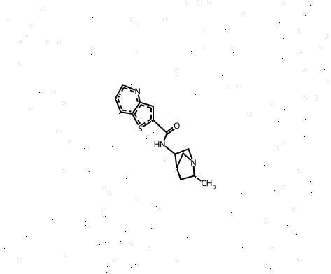 CC1CC2CN1CC2NC(=O)c1cc2ncccc2s1